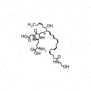 CC/C=C\C[C@H](O)[C@@H](/C=C/C=C/C=C\C/C=C\C/C=C\CCC(=O)NCCO)SCC(NC(=O)CCC(N)C(=O)O)C(=O)NCC(=O)O